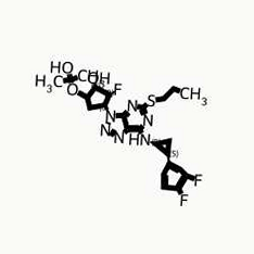 CCCSc1nc(N[C@@H]2C[C@H]2c2ccc(F)c(F)c2)c2nnn([C@H]3CC(OC(C)(C)O)[C@@H](O)[C@@H]3F)c2n1